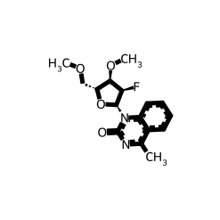 COC[C@H]1O[C@@H](n2c(=O)nc(C)c3ccccc32)[C@H](F)[C@@H]1OC